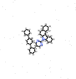 c1ccc(-c2ccc(-c3ccccc3-c3cnc(-n4c5ccccc5c5c6ccccc6ccc54)nc3)cc2)cc1